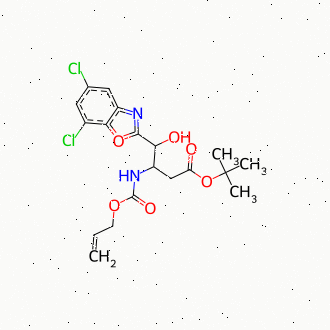 C=CCOC(=O)NC(CC(=O)OC(C)(C)C)C(O)c1nc2cc(Cl)cc(Cl)c2o1